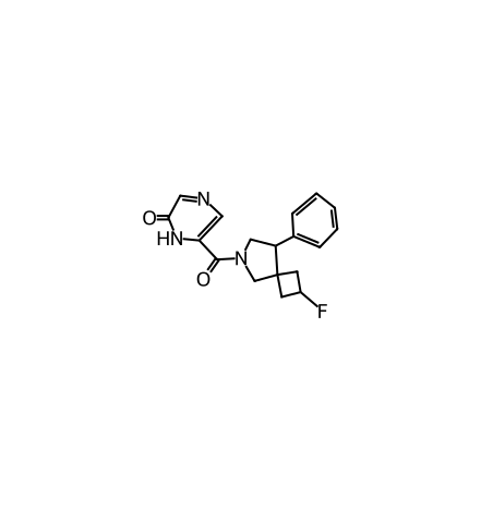 O=C(c1cncc(=O)[nH]1)N1CC(c2ccccc2)C2(CC(F)C2)C1